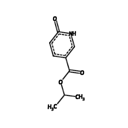 CC(C)OC(=O)c1ccc(=O)[nH]c1